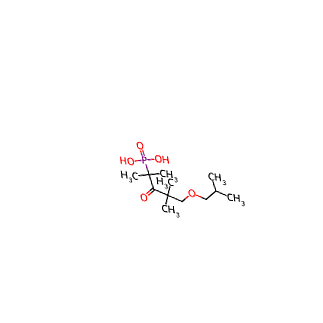 CC(C)COCC(C)(C)C(=O)C(C)(C)P(=O)(O)O